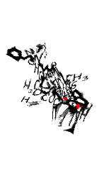 CC(=O)NC(CS)C(=O)NC(C)C(=O)NC(C)C(=O)NC(CCCCNC(=O)C(N)Cc1ccccc1)C(=O)NCCN(C)C(=S)OC1=C2O[C@H]3C(=O)CC4C[C@]35C2C(C=C1)C[C@@H](N4CC1CC1)[C@@]5(C)O